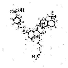 CCCCCCN1C(=O)C(=NN(C=O)Nc2cccc(C(F)(F)F)c2)c2cc(SCCc3ccc(C(=O)O)cc3)ccc21